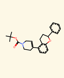 CC(C)(C)OC(=O)N1CC=C(c2cccc3c2CCC(c2ccccc2)O3)CC1